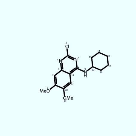 COc1cc2nc(Cl)nc(NC3CCCCC3)c2cc1OC